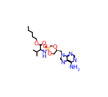 CCCCCOC(=O)C(NP1(=O)CO[C@@H](Cn2cnc3c(N)ncnc32)CO1)C(C)C